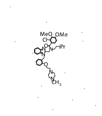 COc1ccc(C(=O)N(CCC(C)C)Cc2nc3ccccc3n2Cc2ccccc2OCCN2CCN(C)CC2)c(Cl)c1OC